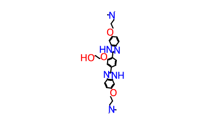 CN(C)CCCOc1ccc2nc(-c3ccc(-c4nc5ccc(OCCCN(C)C)cc5[nH]4)c(OCCO)c3)[nH]c2c1